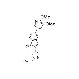 COc1cc(-c2ccc3c(c2)CN(c2cnn(CC(C)C)c2)C3=O)cnc1OC